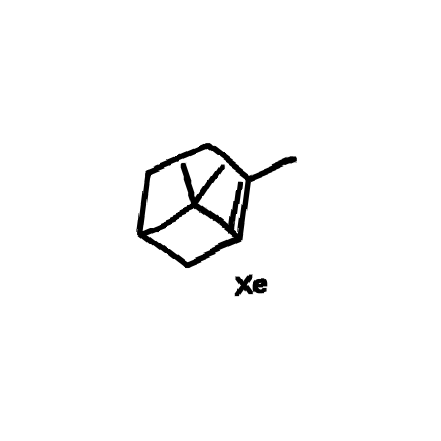 CC1=C2CC(CC1)C2(C)C.[Xe]